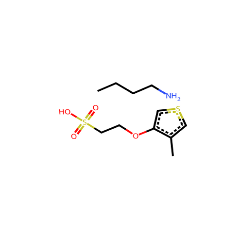 CCCCN.Cc1cscc1OCCS(=O)(=O)O